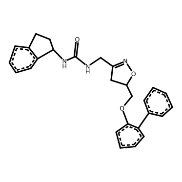 O=C(NCC1=NOC(COc2ccccc2-c2ccccc2)C1)NC1CCc2ccccc21